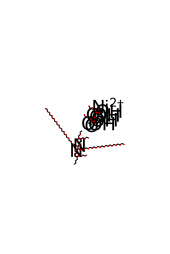 CCCCCCCCCCCCCCCCCCCCCC=CC(=Nc1ccc(CCCC)c(CCCC)c1)C(C#CCCCCCCCCCCCCCCCCCCCCCCC)=Nc1ccc(CCCC)c(CCCC)c1.CCCCc1ccc(O)c(O)c1C(=O)[O-].CCCCc1ccc(O)c(O)c1C(=O)[O-].[Ni+2]